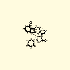 CC[C@@]1(C(=O)N2C(=O)O[C@H](c3ccccc3)[C@@H]2C)CCc2c(sc3ncnc(Cl)c23)C1